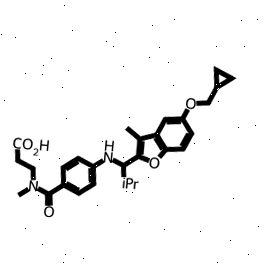 Cc1c(C(Nc2ccc(C(=O)N(C)CCC(=O)O)cc2)C(C)C)oc2ccc(OCC3CC3)cc12